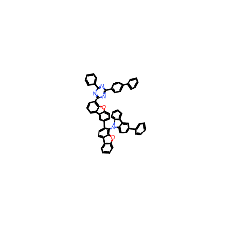 c1ccc(-c2ccc(-c3nc(-c4ccccc4)nc(-c4cccc5c4oc4ccc(-c6ccc7c(oc8ccccc87)c6-n6c7ccccc7c7cc(-c8ccccc8)ccc76)cc45)n3)cc2)cc1